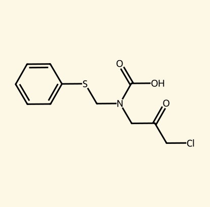 O=C(CCl)CN(CSc1ccccc1)C(=O)O